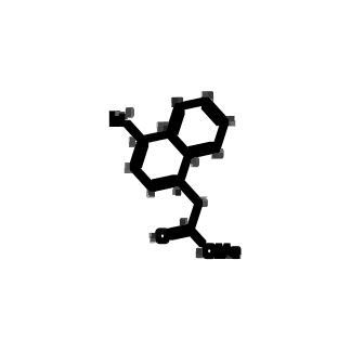 CCc1ccc(CC(=O)OC)c2ccccc12